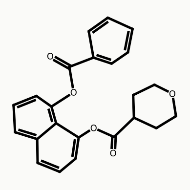 O=C(Oc1cccc2cccc(OC(=O)C3CCOCC3)c12)c1ccccc1